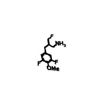 COc1c(F)cc(CC(=CF)CN)cc1F